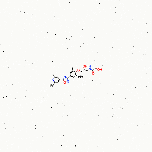 CCCc1cc(-c2noc(-c3cc(C)nc(C(C)C)c3)n2)cc(C)c1OCC(O)CNC(=O)CO